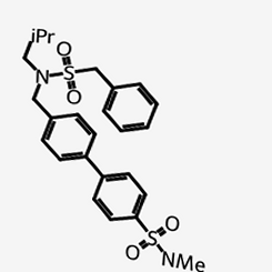 CNS(=O)(=O)c1ccc(-c2ccc(CN(CC(C)C)S(=O)(=O)Cc3ccccc3)cc2)cc1